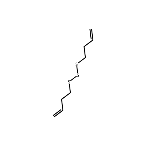 C=CCCSSSCCC=C